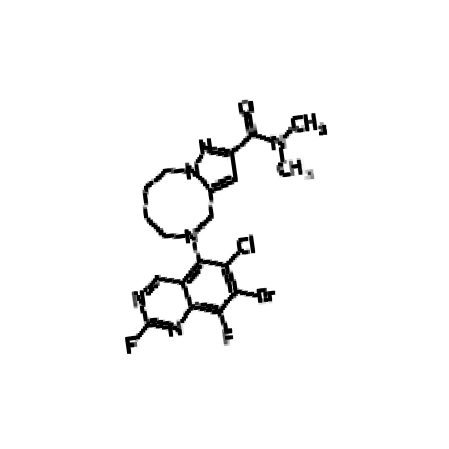 CN(C)C(=O)c1cc2n(n1)CCCCN(c1c(Cl)c(Br)c(F)c3nc(F)ncc13)C2